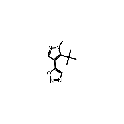 Cn1ncc(-c2cnno2)c1C(C)(C)C